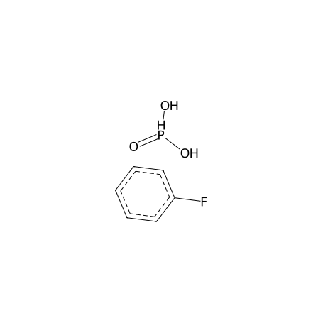 Fc1ccccc1.O=[PH](O)O